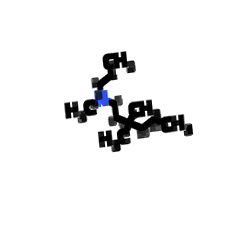 CCCN(C)CCC(C)(C)CCC